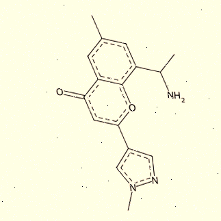 Cc1cc(C(C)N)c2oc(-c3cnn(C)c3)cc(=O)c2c1